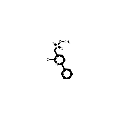 COS(=O)(=O)Cc1ccc(-c2ccccc2)nc1Cl